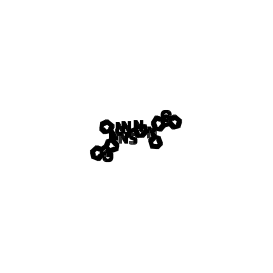 c1ccc(N(c2cnc3c(c2)sc2nc(N(c4ccccc4)c4ccc5oc6ccccc6c5c4)nnc23)c2ccc3oc4ccccc4c3c2)cc1